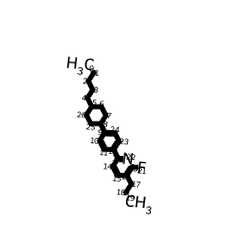 CCCCCC1CCC(c2ccc(-c3ccc(CCC)c(F)n3)cc2)CC1